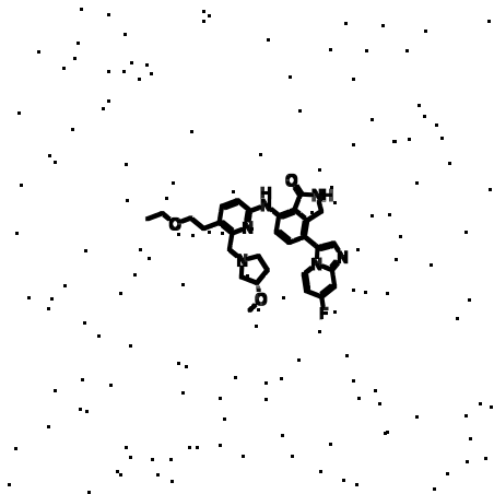 CCOCCc1ccc(Nc2ccc(-c3cnc4cc(F)ccn34)c3c2C(=O)NC3)nc1CN1CC[C@H](OC)C1